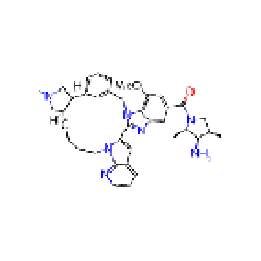 COc1cc(C(=O)N2C[C@@H](C)[C@@H](N)[C@H]2C)cc2nc3n(c12)Cc1cccc(c1)[C@@H]1CN(C)C[C@@H]1CCCCn1c-3cc2cccnc21